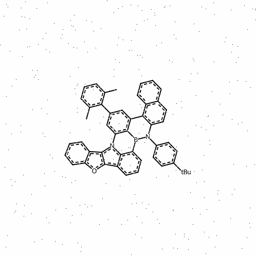 Cc1cccc(C)c1-c1cc2c3c(c1)-n1c4c(cccc4c4oc5ccccc5c41)B3N(c1ccc(C(C)(C)C)cc1)c1ccc3ccccc3c1-2